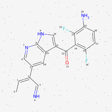 C/C=C(\C=N)c1cnc2[nH]cc(C(=O)c3c(F)ccc(N)c3F)c2c1